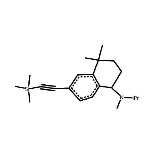 CC(C)N(C)C1CCC(C)(C)c2cc(C#C[Si](C)(C)C)ccc21